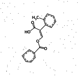 Cc1ccccc1C(=COC(=O)c1ccccc1)C(=O)O